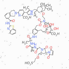 Cc1c(-c2ccc(N3CCc4cccc(C(=O)Nc5nc6ccccc6s5)c4C3)nc2C(=O)O)cnn1CC1(C)CC2(C)CC(C)(C)CC(OCCN(C)C(=O)OCc3ccc(NC(=O)[C@H](C)NC(=O)[C@@H](NC(=O)CN4C(=O)[C@@H](N5C(=O)C=CC5=O)C[C@H]4COCCS(=O)(=O)O)C(C)C)cc3CC[C@@H]3O[C@H](C(=O)O)[C@@H](O)[C@H](O)[C@H]3O)(C1)C2